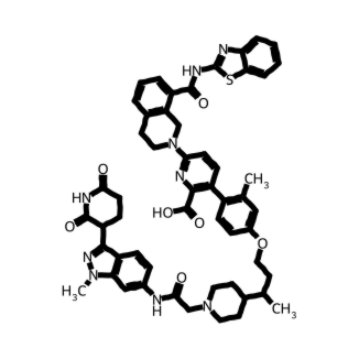 Cc1cc(OCCC(C)C2CCN(CC(=O)Nc3ccc4c(C5CCC(=O)NC5=O)nn(C)c4c3)CC2)ccc1-c1ccc(N2CCc3cccc(C(=O)Nc4nc5ccccc5s4)c3C2)nc1C(=O)O